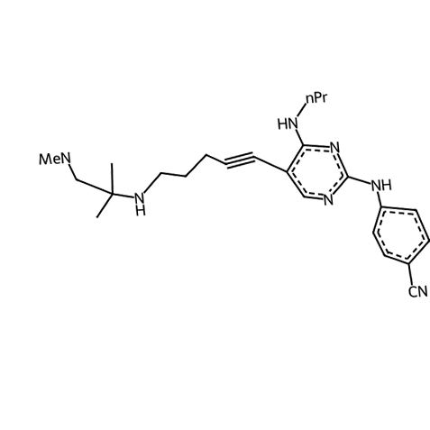 CCCNc1nc(Nc2ccc(C#N)cc2)ncc1C#CCCCNC(C)(C)CNC